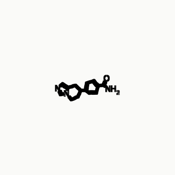 NC(=O)c1ccc(C2CCn3cncc3C2)cc1